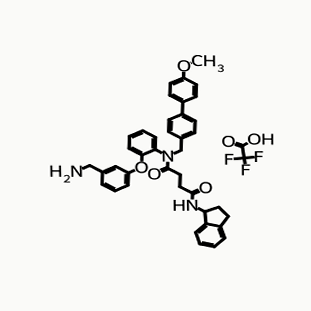 COc1ccc(-c2ccc(CN(C(=O)CCC(=O)NC3CCc4ccccc43)c3ccccc3Oc3cccc(CN)c3)cc2)cc1.O=C(O)C(F)(F)F